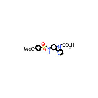 COc1ccc(S(=O)(=O)CNC2CCc3c(c4ncccc4n3CC(=O)O)C2)cc1